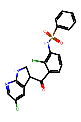 O=C(c1cccc(NS(=O)(=O)c2ccccc2)c1F)C1CNc2ncc(Cl)cc21